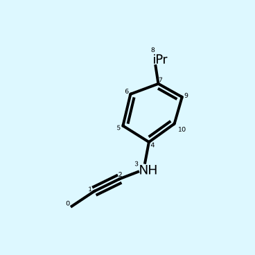 CC#CNc1ccc(C(C)C)cc1